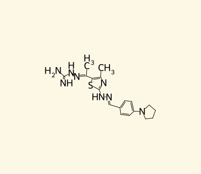 CC(=NNC(=N)N)c1sc(NN=Cc2ccc(N3CCCC3)cc2)nc1C